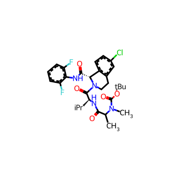 CC(C)[C@H](NC(=O)C(C)N(C)C(=O)OC(C)(C)C)C(=O)N1CCc2cc(Cl)ccc2[C@H]1C(=O)Nc1c(F)cccc1F